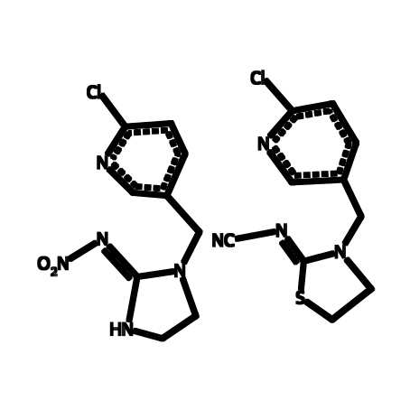 N#C/N=C1\SCCN1Cc1ccc(Cl)nc1.O=[N+]([O-])/N=C1\NCCN1Cc1ccc(Cl)nc1